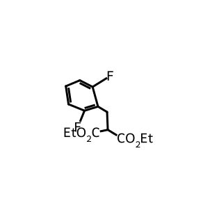 CCOC(=O)C(Cc1c(F)cccc1F)C(=O)OCC